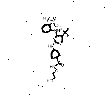 CP(C)(=O)c1ccccc1Nc1nc(Nc2ccc(C(=O)NOCCO)cc2)ncc1C(F)(F)F